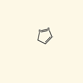 B1=BCC=[C]1